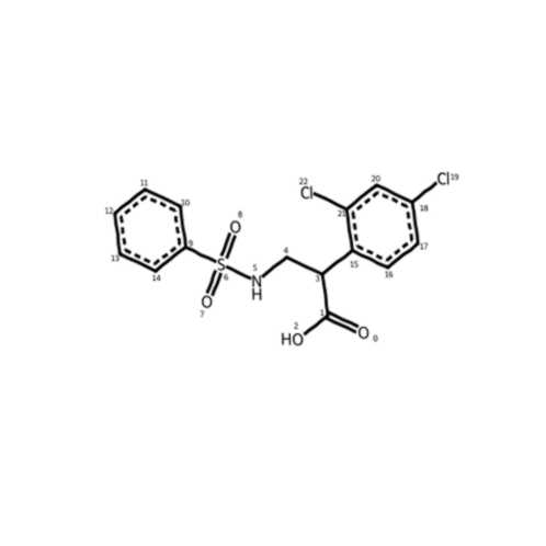 O=C(O)C(CNS(=O)(=O)c1ccccc1)c1ccc(Cl)cc1Cl